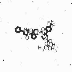 CC(C)(C)OC(=O)N1CCN(C(=O)N2CCC(O)(Cn3cnc(-c4ccccc4)cc3=O)C3(CCCC3)C2)C(c2ccc(C(F)(F)F)cc2)C1